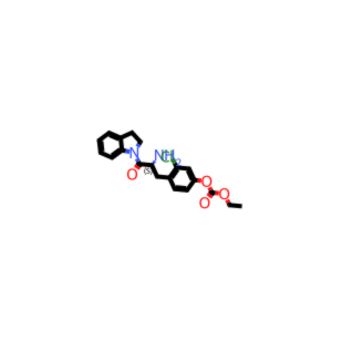 CCOC(=O)Oc1ccc(C[C@H](N)C(=O)N2CCc3ccccc32)c(Cl)c1